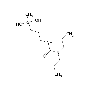 CCCN(CCC)C(=O)NCCC[Si](C)(O)O